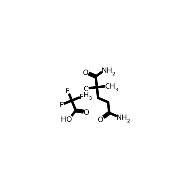 CC(C)(CCC(N)=O)C(N)=O.O=C(O)C(F)(F)F